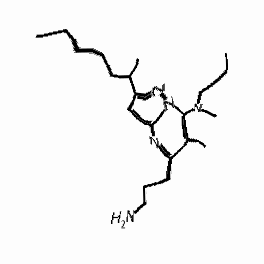 CCCCCC(C)c1cc2nc(CCCN)c(C)c(N(C)CCC)n2n1